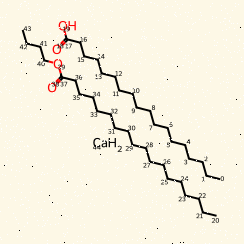 CCCCCCCCCCCCCCCCCC(=O)O.CCCCCCCCCCCCCCCCCC(=O)OCCCC.[CaH2]